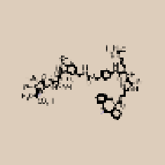 CNC(C(=O)N[C@H](C(=O)N(C)[C@H](/C=C(\C)C(=O)O)C(C)C)C(C)(C)C)C(C)(C)C1=CN(C)C2CC=C(CNC(=O)OCc3ccc(NC(=O)[C@H](CCCNC(N)=O)NC(=O)[C@@H](NC(=O)CCC(=O)N4Cc5ccccc5/C=C\C5=C4CCC=C5)C(C)C)cc3)C=C12